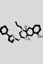 CCCN1C[C@@H](Cn2ccc(-c3ccccc3)n2)O[C@@H]2Cc3c(O)cccc3C[C@H]21